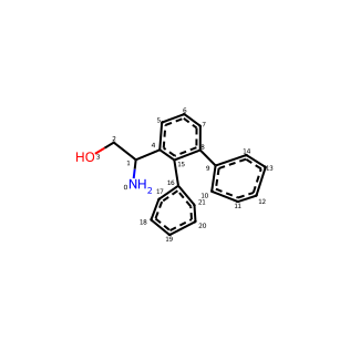 NC(CO)c1cccc(-c2ccccc2)c1-c1ccccc1